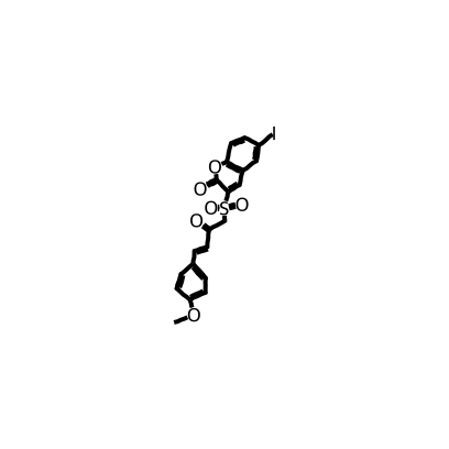 COc1ccc(C=CC(=O)CS(=O)(=O)c2cc3cc(I)ccc3oc2=O)cc1